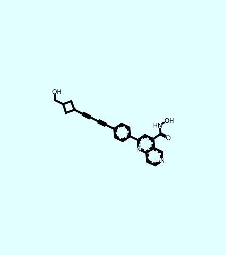 O=C(NO)c1cc(-c2ccc(C#CC#CC3CC(CO)C3)cc2)nc2ccncc12